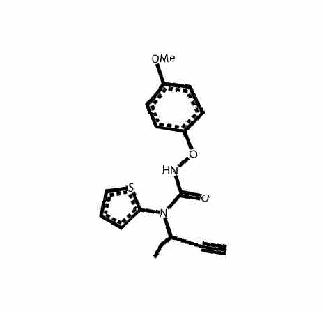 C#CC(C)N(C(=O)NOc1ccc(OC)cc1)c1cccs1